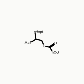 CCCCCCCCC(=O)OCC(CCCCCCC)SC